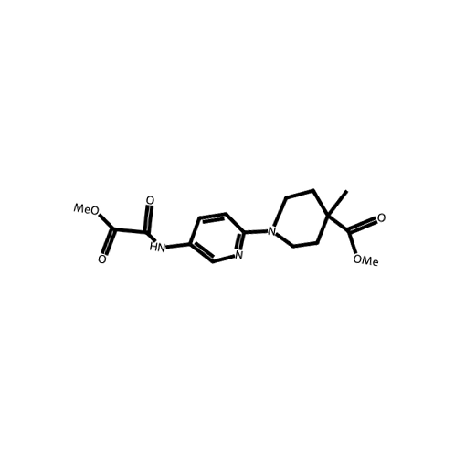 COC(=O)C(=O)Nc1ccc(N2CCC(C)(C(=O)OC)CC2)nc1